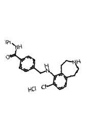 CC(C)NC(=O)c1ccc(CNc2c(Cl)ccc3c2CCNCC3)cc1.Cl